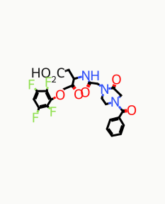 O=C(O)CC(NC(=O)CN1CCN(C(=O)c2ccccc2)CC1=O)C(=O)COc1c(F)c(F)cc(F)c1F